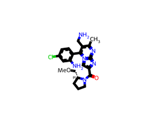 COC[C@H]1CCCN1C(=O)c1cn2c(-c3ccc(Cl)cc3N)c(CN)c(C)nc2n1